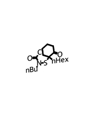 CCCCCCC1(SN(CCCC)C(=O)Cl)CCCCC1=O